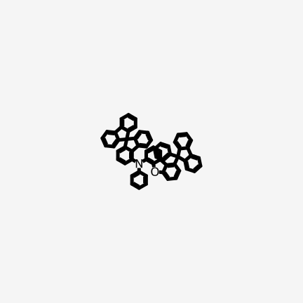 c1ccc(N(c2cccc3c2-c2ccccc2C32c3ccccc3-c3ccccc32)c2cccc3c2oc2cccc(C4(c5ccccc5)c5ccccc5-c5ccccc54)c23)cc1